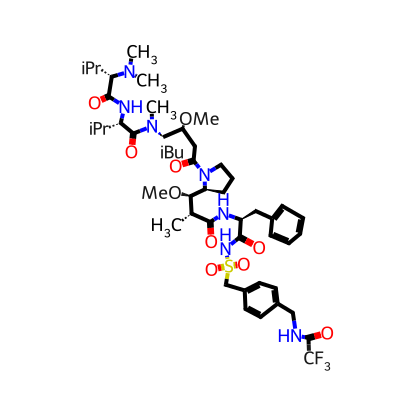 CC[C@H](C)[C@@H]([C@@H](CC(=O)N1CCC[C@H]1[C@H](OC)[C@@H](C)C(=O)N[C@@H](Cc1ccccc1)C(=O)NS(=O)(=O)Cc1ccc(CNC(=O)C(F)(F)F)cc1)OC)N(C)C(=O)[C@@H](NC(=O)[C@H](C(C)C)N(C)C)C(C)C